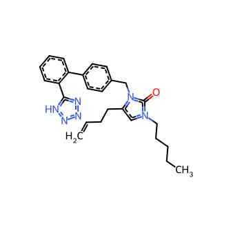 C=CCCc1cn(CCCCC)c(=O)n1Cc1ccc(-c2ccccc2-c2nnn[nH]2)cc1